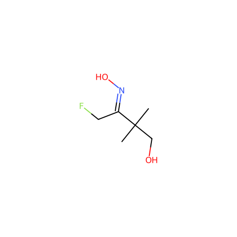 CC(C)(CO)C(CF)=NO